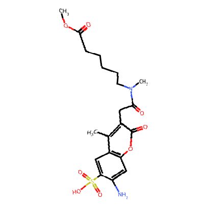 COC(=O)CCCCCN(C)C(=O)Cc1c(C)c2cc(S(=O)(=O)O)c(N)cc2oc1=O